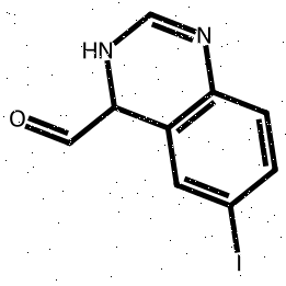 O=CC1NC=Nc2ccc(I)cc21